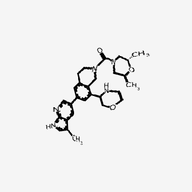 Cc1c[nH]c2ncc(-c3cc4c(c(C5COCCN5)c3)CN(C(=O)N3CC(C)O[C@@H](C)C3)CC4)cc12